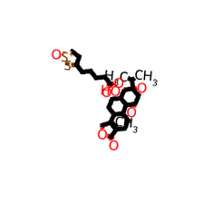 CC(C)C12OC1C1OC13C1(C)CCC4=C(COC4=O)C1CCC3(O)C2OC(=O)CCCCC1CC[S+]([O-])S1